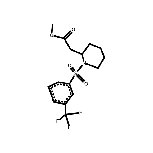 COC(=O)CC1CCCCN1S(=O)(=O)c1cccc(C(F)(F)F)c1